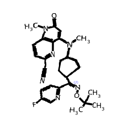 CN(c1cc(=O)n(C)c2ccc(C#N)nc12)C1CCC(/C(=N/OC(C)(C)C)c2ccc(F)cn2)CC1